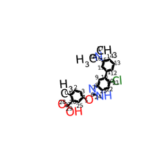 Cc1ccc(Oc2nc3cc(-c4cccc(N(C)C)c4)c(Cl)cc3[nH]2)cc1C(=O)O